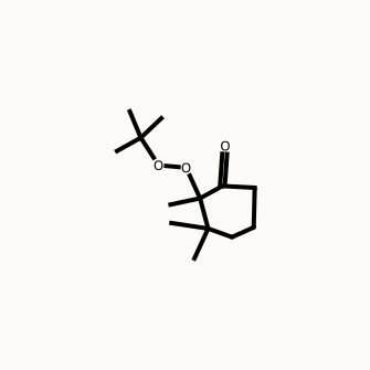 CC(C)(C)OOC1(C)C(=O)CCCC1(C)C